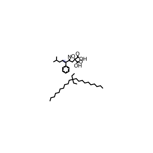 CC(C)C/C=C(/C1=NOC(C(=O)O)(C(=O)O)C1)c1ccccc1.CCCCCCCCCCC(CC)(CC)CCCCCCCCCC